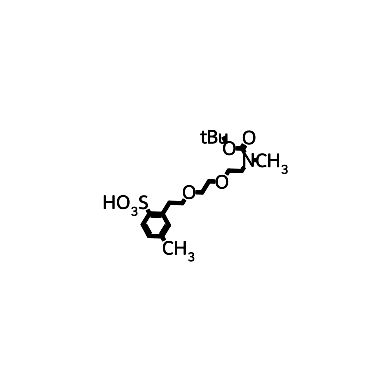 Cc1ccc(S(=O)(=O)O)c(CCOCCOCCN(C)C(=O)OC(C)(C)C)c1